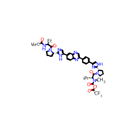 CC[C@H](NC(=O)OC)C(=O)N1CCC[C@H]1c1ncc(-c2ccc3nc(-c4ccc(-c5c[nH]c([C@@H]6CCCN6C(=O)[C@H](C(C)C)N(C)C(=O)OC(=O)C(F)(F)F)n5)cc4)cnc3c2)[nH]1